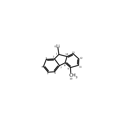 [Li][CH]1c2ccccc2-c2c(C)cccc21